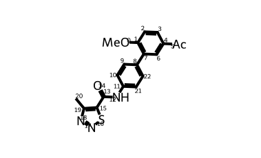 COc1ccc(C(C)=O)cc1-c1ccc(NC(=O)c2snnc2C)cc1